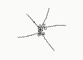 CCCCCCCCC=CCCCCCCCC(=O)NC(CN(CC(NC(=O)CCCCCCCC=CCCCCCCCC)NC(=O)CCCCCCCC=CCCCCCCCC)C(=O)CCCCCCCC=CCCCCCCCC)NC(=O)CCCCCCCC=CCCCCCCCC